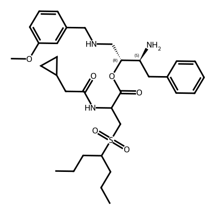 CCCC(CCC)S(=O)(=O)CC(NC(=O)CC1CC1)C(=O)O[C@H](CNCc1cccc(OC)c1)[C@@H](N)Cc1ccccc1